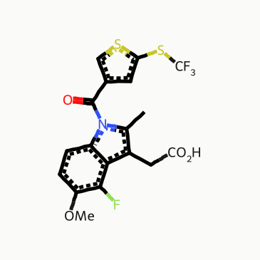 COc1ccc2c(c1F)c(CC(=O)O)c(C)n2C(=O)c1csc(SC(F)(F)F)c1